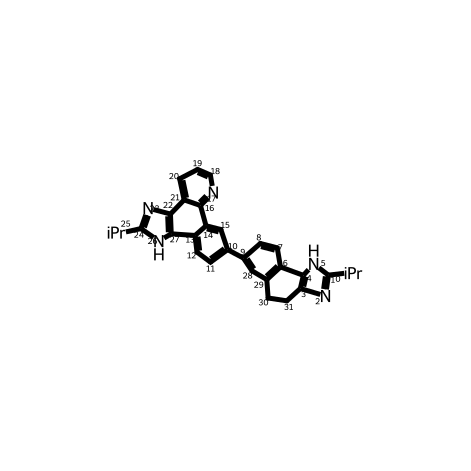 CC(C)c1nc2c([nH]1)-c1ccc(-c3ccc4c(c3)c3ncccc3c3nc(C(C)C)[nH]c43)cc1CC2